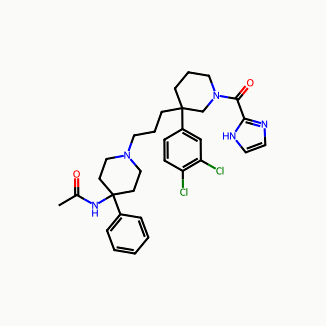 CC(=O)NC1(c2ccccc2)CCN(CCCC2(c3ccc(Cl)c(Cl)c3)CCCN(C(=O)c3ncc[nH]3)C2)CC1